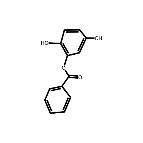 O=C(Oc1cc(O)ccc1O)c1ccccc1